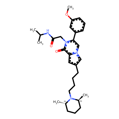 COc1cccc(-c2cn3cc(CCCCN4[C@@H](C)CCC[C@@H]4C)cc3c(=O)n2CC(=O)NC(C)C)c1